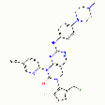 COc1ccc(N2C(=O)N(c3c(CF)csc3Cl)Cc3cnc(Nc4ccc(N5CCN(C)CC5)cc4)nc32)nc1